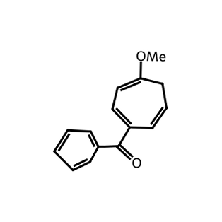 COC1=CC=C(C(=O)c2ccccc2)C=CC1